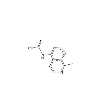 Cc1nccc2c(NC(=O)O)cccc12